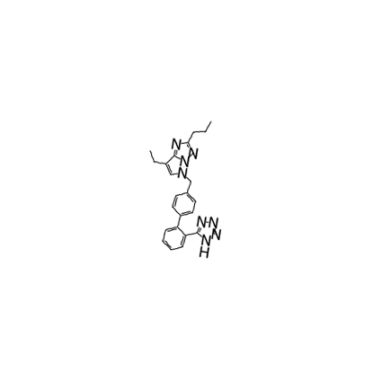 CCCc1nc2c(CC)cn(Cc3ccc(-c4ccccc4-c4nnn[nH]4)cc3)n2n1